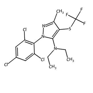 CCN(CC)c1c(SC(F)(F)F)c(C)nn1-c1c(Cl)cc(Cl)cc1Cl